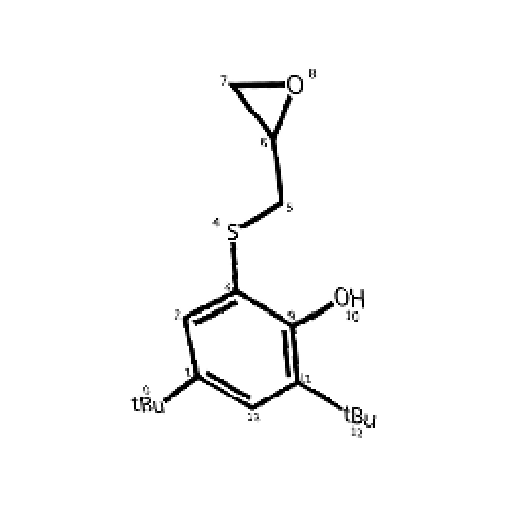 CC(C)(C)c1cc(SCC2CO2)c(O)c(C(C)(C)C)c1